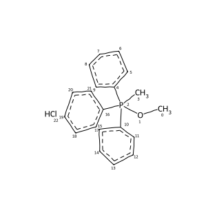 COP(C)(c1ccccc1)(c1ccccc1)c1ccccc1.Cl